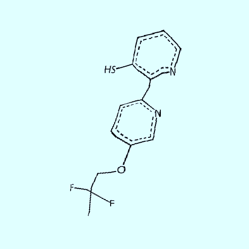 CC(F)(F)COc1ccc(-c2ncccc2S)nc1